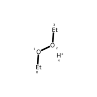 CCOOCC.[H+]